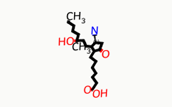 CCCCCC(C)(O)CCC1C(CCCCCCC(=O)O)C(=O)C[C@@H]1C#N